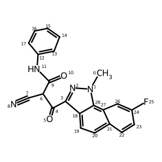 Cn1nc(C(=O)C(C#N)C(=O)Nc2ccccc2)c2ccc3ccc(F)cc3c21